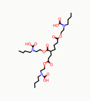 CCCCN(CCOC(=O)CCCC(CCC(=O)OCCN(CCCC)C(=O)O)C(=O)OCCN(CCCC)C(=O)O)C(=O)O